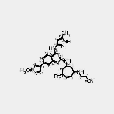 CCC1CCC(NCCC#N)CC(Nc2nc(Nc3cc(C)[nH]n3)c3ccc(-c4cnn(C)c4)cc3n2)C1